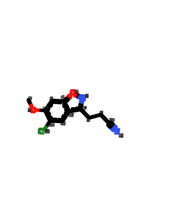 COc1cc2onc(CCC#N)c2cc1Cl